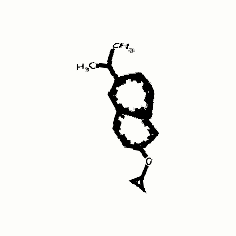 CC(C)c1ccc2cc(OC3CC3)ccc2c1